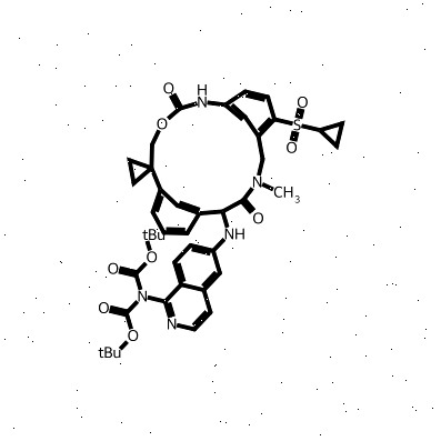 CN1Cc2cc(ccc2S(=O)(=O)C2CC2)NC(=O)OCC2(CC2)c2cccc(c2)C(Nc2ccc3c(N(C(=O)OC(C)(C)C)C(=O)OC(C)(C)C)nccc3c2)C1=O